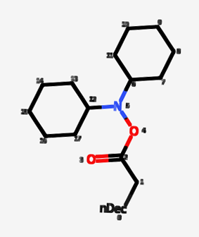 CCCCCCCCCCCC(=O)ON(C1CCCCC1)C1CCCCC1